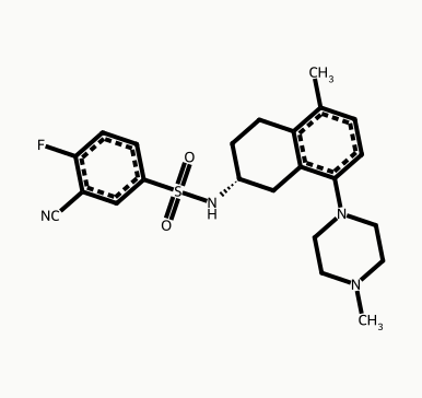 Cc1ccc(N2CCN(C)CC2)c2c1CC[C@@H](NS(=O)(=O)c1ccc(F)c(C#N)c1)C2